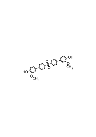 COc1cc(-c2ccc(S(=O)(=O)c3ccc(-c4ccc(O)c(OC)c4)cc3)cc2)ccc1O